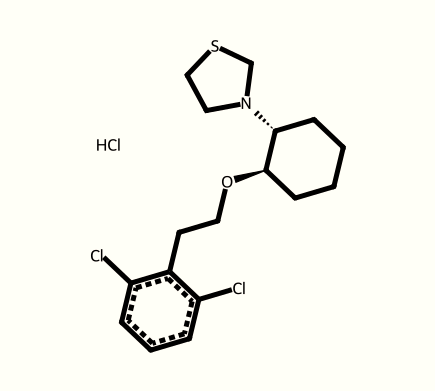 Cl.Clc1cccc(Cl)c1CCO[C@@H]1CCCC[C@H]1N1CCSC1